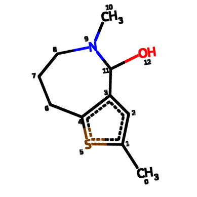 Cc1cc2c(s1)CCCN(C)C2O